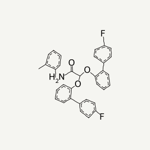 Cc1ccccc1C.NC(=O)C(Oc1ccccc1-c1ccc(F)cc1)Oc1ccccc1-c1ccc(F)cc1